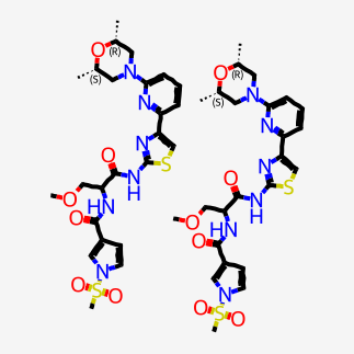 COCC(NC(=O)c1ccn(S(C)(=O)=O)c1)C(=O)Nc1nc(-c2cccc(N3C[C@@H](C)O[C@@H](C)C3)n2)cs1.COCC(NC(=O)c1ccn(S(C)(=O)=O)c1)C(=O)Nc1nc(-c2cccc(N3C[C@@H](C)O[C@@H](C)C3)n2)cs1